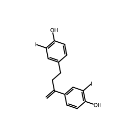 C=C(CCc1ccc(O)c(I)c1)c1ccc(O)c(I)c1